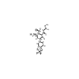 CC/C(C)=C/N(C)c1c(C)c(-c2ccc(OC(F)(F)F)cc2)cc(N)c1C(C)=O